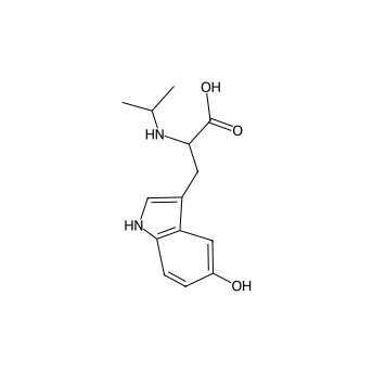 CC(C)NC(Cc1c[nH]c2ccc(O)cc12)C(=O)O